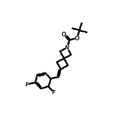 CC(C)(C)OC(=O)N1CC2(CC(=CC3C=CC(F)=CC3F)C2)C1